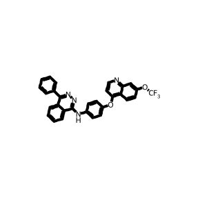 FC(F)(F)Oc1ccc2c(Oc3ccc(Nc4nnc(-c5ccccc5)c5ccccc45)cc3)ccnc2c1